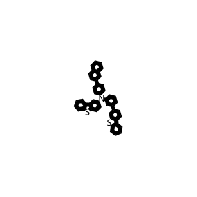 c1cc(-c2ccc3c(c2)sc2ccccc23)cc(N(c2ccc(-c3ccc4ccccc4c3)cc2)c2ccc3sc4ccccc4c3c2)c1